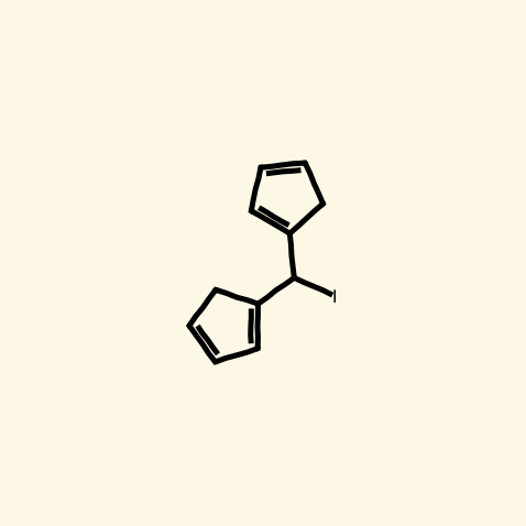 IC(C1=CC=CC1)C1=CC=CC1